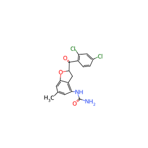 Cc1cc(NC(N)=O)c2c(c1)OC(C(=O)c1ccc(Cl)cc1Cl)C2